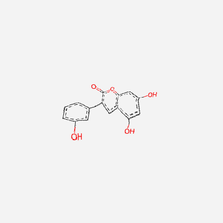 O=c1oc2cc(O)cc(O)c2cc1-c1cccc(O)c1